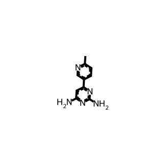 Cc1ccc(-c2cc(N)nc(N)n2)cn1